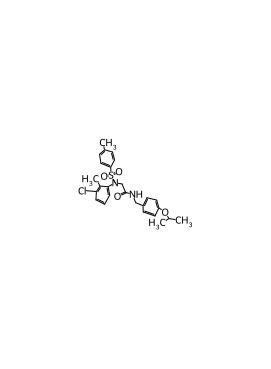 Cc1ccc(S(=O)(=O)N(CC(=O)NCc2ccc(OC(C)C)cc2)c2cccc(Cl)c2C)cc1